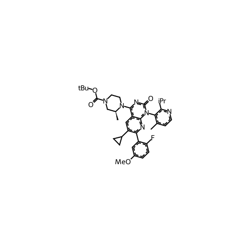 COc1ccc(F)c(-c2nc3c(cc2C2CC2)c(N2CCN(C(=O)OC(C)(C)C)C[C@@H]2C)nc(=O)n3-c2c(C)ccnc2C(C)C)c1